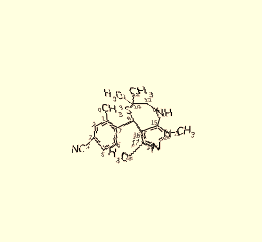 Cc1cc(C#N)ccc1C1SC(C)(C)CNc2c1c(C)nn2C